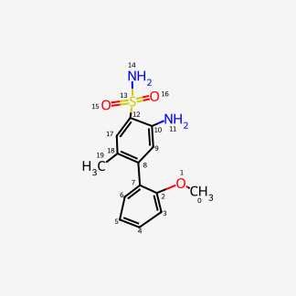 COc1ccccc1-c1cc(N)c(S(N)(=O)=O)cc1C